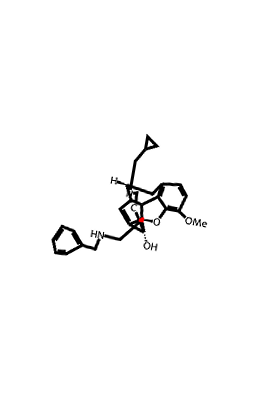 COc1ccc2c3c1O[C@]14C5=C[C@@]6(CC(CNCc7ccccc7)[C@]51O)[C@@H](C2)N(CC1CC1)CC[C@]346